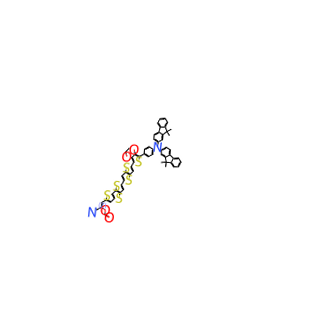 CC1(C)c2ccccc2-c2ccc(N(c3ccc(-c4sc(-c5cc6sc(-c7cc8sc9cc(/C=C(/C#N)OC=O)sc9c8s7)cc6s5)c5c4OCCO5)cc3)c3ccc4c(c3)C(C)(C)c3ccccc3-4)cc21